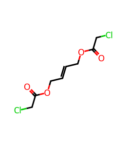 O=C(CCl)OCC=CCOC(=O)CCl